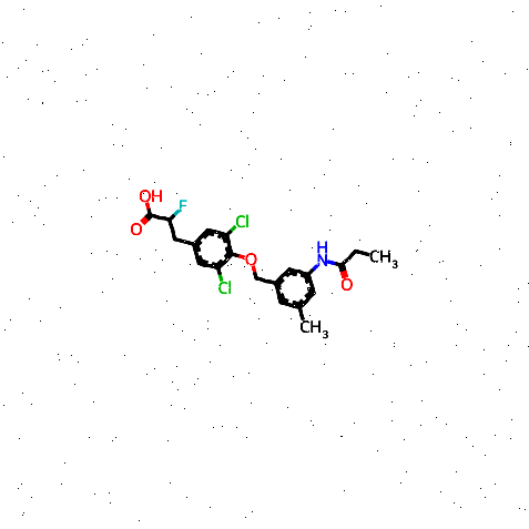 CCC(=O)Nc1cc(C)cc(COc2c(Cl)cc(CC(F)C(=O)O)cc2Cl)c1